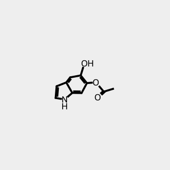 CC(=O)Oc1cc2[nH]ccc2cc1O